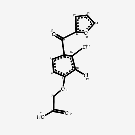 O=C(O)COc1ccc(C(=O)c2ccco2)c(Cl)c1Cl